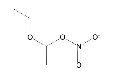 CCOC(C)O[N+](=O)[O-]